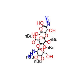 CCCCOC(=O)[C@@H]1O[C@@H](O[C@H]2C(O)[C@H](N=[N+]=[N-])[C@H](O)O[C@H]2CO)[C@@H](OCCCC)C(OCCCC)[C@@H]1O[C@H]1O[C@@H](CO)[C@@H](OCCCC)[C@H](OCCCC)C1N=[N+]=[N-]